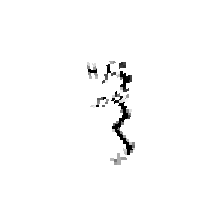 CC[S+]([O-])CCCF